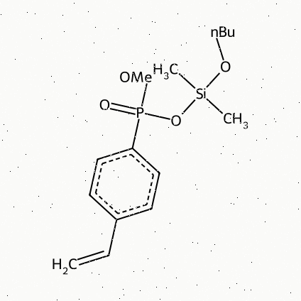 C=Cc1ccc(P(=O)(OC)O[Si](C)(C)OCCCC)cc1